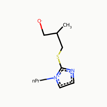 CCCn1ccnc1SCC(C)C[O]